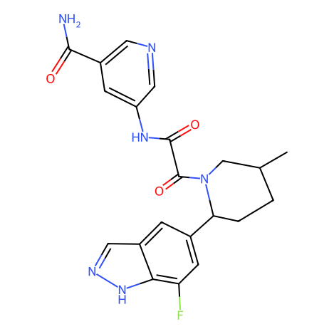 CC1CCC(c2cc(F)c3[nH]ncc3c2)N(C(=O)C(=O)Nc2cncc(C(N)=O)c2)C1